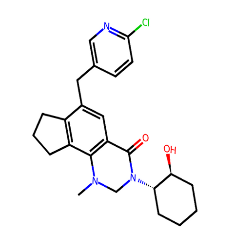 CN1CN([C@H]2CCCC[C@@H]2O)C(=O)c2cc(Cc3ccc(Cl)nc3)c3c(c21)CCC3